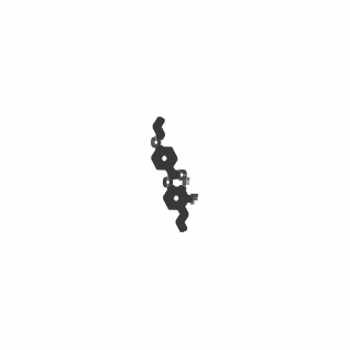 CCCOc1ccc(C(=O)Oc2ccc(CCC)c(F)c2F)cc1